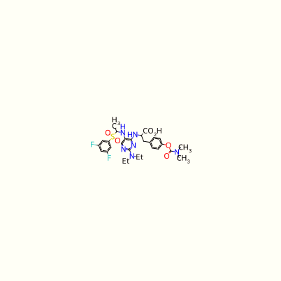 CCN(CC)c1ncc(NC(C)S(=O)(=O)c2cc(F)cc(F)c2)c(NC(Cc2ccc(OC(=O)N(C)C)cc2)C(=O)O)n1